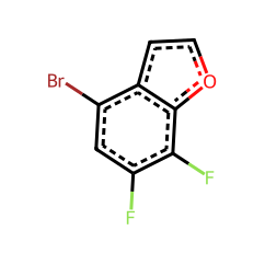 Fc1cc(Br)c2ccoc2c1F